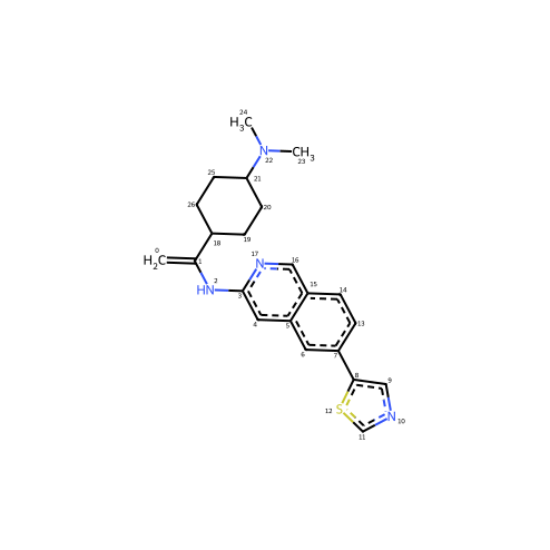 C=C(Nc1cc2cc(-c3cncs3)ccc2cn1)C1CCC(N(C)C)CC1